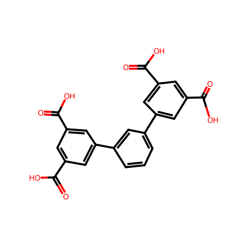 O=C(O)c1cc(C(=O)O)cc(-c2cccc(-c3cc(C(=O)O)cc(C(=O)O)c3)c2)c1